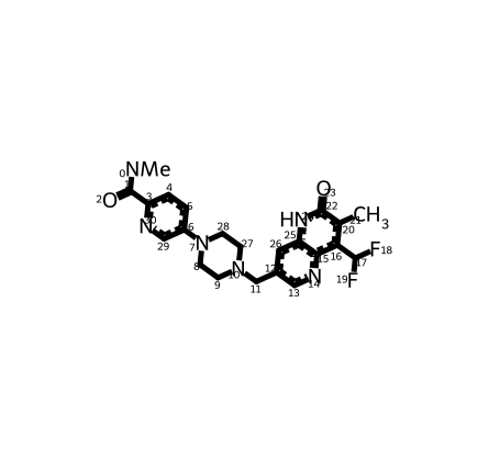 CNC(=O)c1ccc(N2CCN(Cc3cnc4c(C(F)F)c(C)c(=O)[nH]c4c3)CC2)cn1